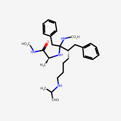 CC(C=O)NCCCC[C@@H](Cc1ccccc1)C(Cc1ccccc1)(NC(=O)O)N[C@@H](C)C(=O)NC(=O)O